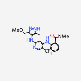 CNC(=O)c1ccccc1Nc1cc(Nc2c(COC)n[nH]c2C)ncc1C(F)(F)F